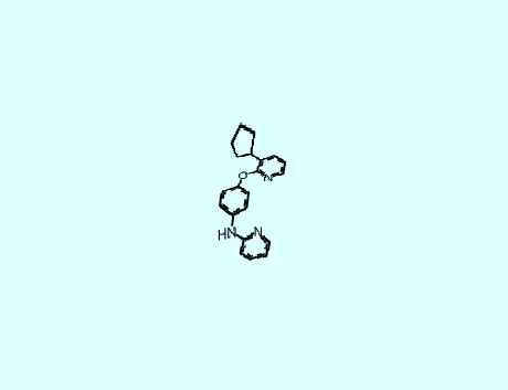 c1ccc(Nc2ccc(Oc3ncccc3C3CCCC3)cc2)nc1